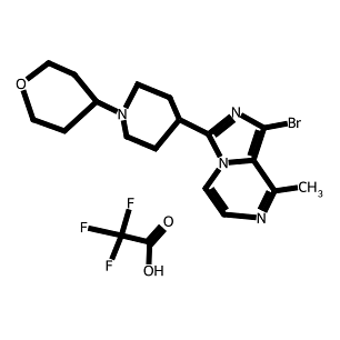 Cc1nccn2c(C3CCN(C4CCOCC4)CC3)nc(Br)c12.O=C(O)C(F)(F)F